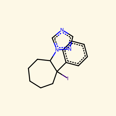 IC1(c2ccccc2)CCCCCC1n1cncn1